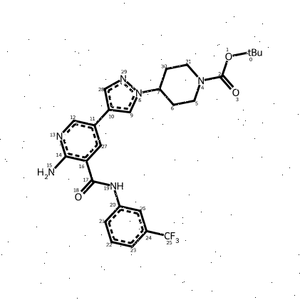 CC(C)(C)OC(=O)N1CCC(n2cc(-c3cnc(N)c(C(=O)Nc4cccc(C(F)(F)F)c4)c3)cn2)CC1